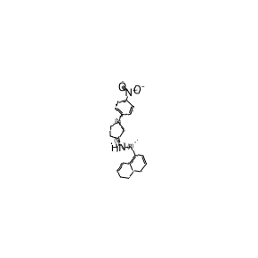 C[C@@H](N[C@H]1CC[C@@H](c2ccc([N+](=O)[O-])cc2)C1)C1=C2C=CCCC2CC=C1